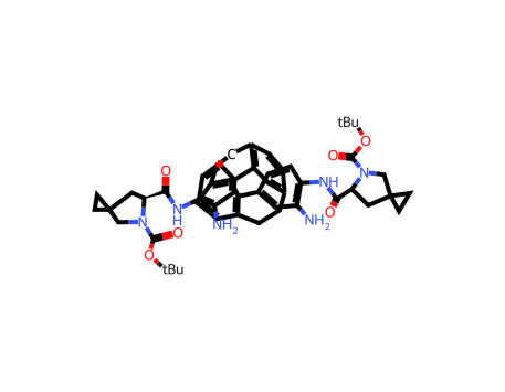 CC(C)(C)OC(=O)N1CC2(CC2)CC1C(=O)Nc1ccc(-c2cc3ccc2CCc2ccc(c(-c4ccc(NC(=O)[C@@H]5CC6(CC6)CN5C(=O)OC(C)(C)C)c(N)c4)c2)CC3)cc1N